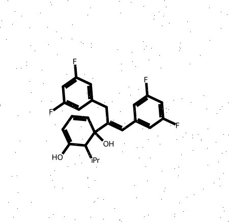 CC(C)C1C(O)=CC=CC1(O)C(=Cc1cc(F)cc(F)c1)Cc1cc(F)cc(F)c1